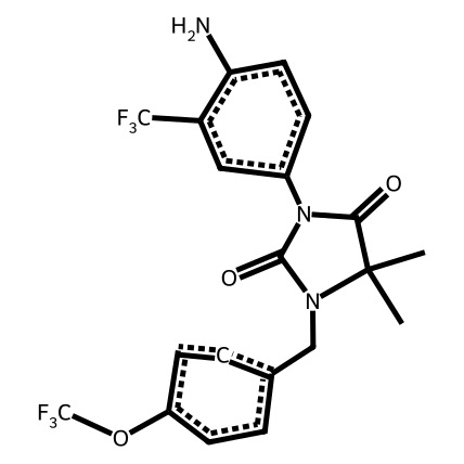 CC1(C)C(=O)N(c2ccc(N)c(C(F)(F)F)c2)C(=O)N1Cc1ccc(OC(F)(F)F)cc1